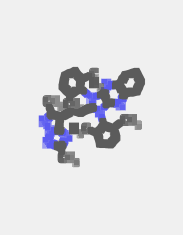 Cc1nc2/c(=C\C=C3N(c4c(C)cccc4C)c4nc5ccccc5nc4N3c3c(C)cccc3C)c(C)nn2n1